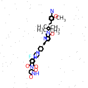 COc1cc(CC[C@H]2C(C)(C)[C@H](N3Cc4nc(C#C[C@H]5CC[C@H](N6CCN(c7cc8c(cc7F)C(=O)N(C7CCC(=O)NC7=O)C8=O)CC6)CC5)ccc4C3=O)C2(C)C)ccc1C#N